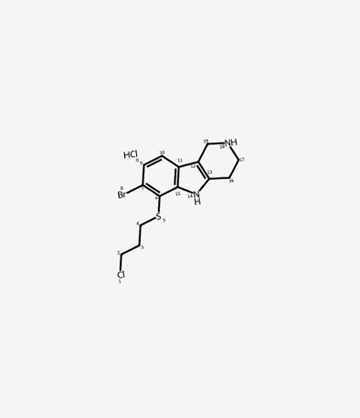 Cl.ClCCCSc1c(Br)ccc2c3c([nH]c12)CCNC3